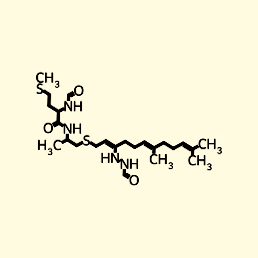 CSCCC(NC=O)C(=O)NC(C)CSC/C=C(/CC/C=C(\C)CCC=C(C)C)NNC=O